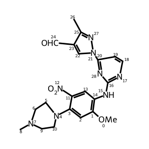 COc1cc(N2CCN(C)CC2)c([N+](=O)[O-])cc1Nc1nccc(-n2cc(C=O)c(C)n2)n1